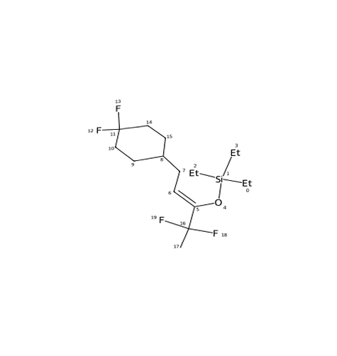 CC[Si](CC)(CC)OC(=CCC1CCC(F)(F)CC1)C(C)(F)F